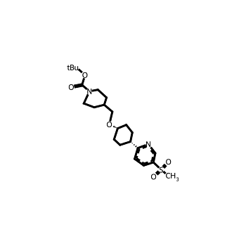 CC(C)(C)OC(=O)N1CCC(CO[C@H]2CC[C@@H](c3ccc(S(C)(=O)=O)cn3)CC2)CC1